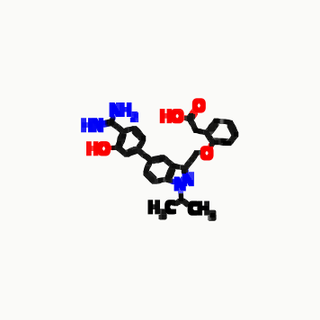 CC(C)n1nc(COc2ccccc2CC(=O)O)c2cc(-c3ccc(C(=N)N)c(O)c3)ccc21